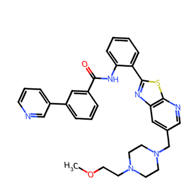 COCCN1CCN(Cc2cnc3sc(-c4ccccc4NC(=O)c4cccc(-c5cccnc5)c4)nc3c2)CC1